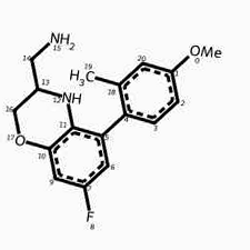 COc1ccc(-c2cc(F)cc3c2NC(CN)CO3)c(C)c1